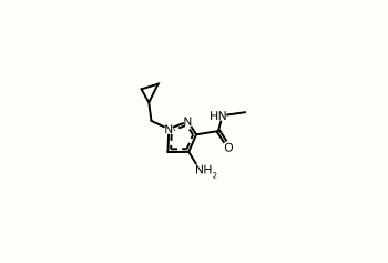 CNC(=O)c1nn(CC2CC2)cc1N